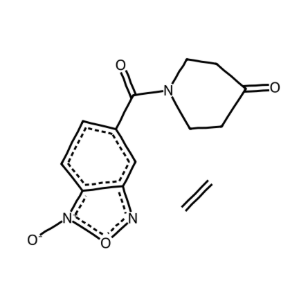 C=C.O=C1CCN(C(=O)c2ccc3c(c2)no[n+]3[O-])CC1